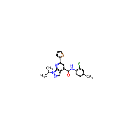 Cc1ccc(NC(=O)c2cc(-c3cccs3)nc3c2cnn3C(C)C)c(F)c1